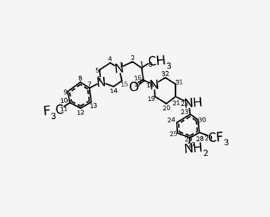 CC(CN1CCN(c2ccc(C(F)(F)F)cc2)CC1)C(=O)N1CCC(Nc2ccc(N)c(C(F)(F)F)c2)CC1